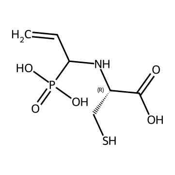 C=CC(N[C@@H](CS)C(=O)O)P(=O)(O)O